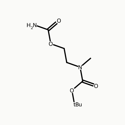 CN(CCOC(N)=O)C(=O)OC(C)(C)C